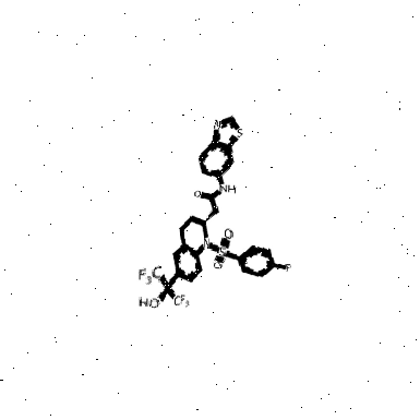 O=C(C[C@@H]1CCc2cc(C(O)(C(F)(F)F)C(F)(F)F)ccc2N1S(=O)(=O)c1ccc(F)cc1)Nc1ccc2ncsc2c1